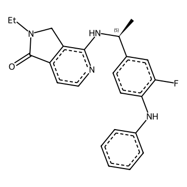 CCN1Cc2c(ccnc2N[C@@H](C)c2ccc(Nc3ccccc3)c(F)c2)C1=O